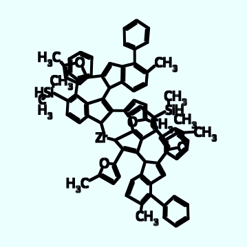 Cc1ccc(C2=Cc3c(ccc(C)c3-c3ccccc3)C2C2=C(c3ccc(C)o3)[CH]([Zr][CH]3C(c4ccc(C)o4)=C(C4C(c5ccc(C)o5)=Cc5c4ccc(C)c5-c4ccccc4)c4c3ccc([SiH](C)C)c4-c3ccccc3)c3ccc([SiH](C)C)c(-c4ccccc4)c32)o1